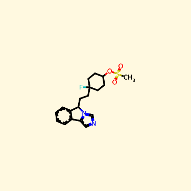 CS(=O)(=O)OC1CCC(F)(CCC2c3ccccc3-c3cncn32)CC1